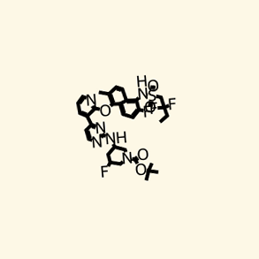 CCC(F)(F)CS(=O)(=O)Nc1c(F)ccc2c(Oc3ncccc3-c3ccnc(NC4CC(F)CN(C(=O)OC(C)(C)C)C4)n3)c(C)ccc12